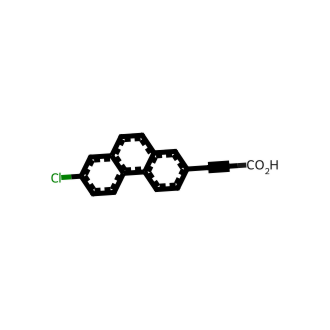 O=C(O)C#Cc1ccc2c(ccc3cc(Cl)ccc32)c1